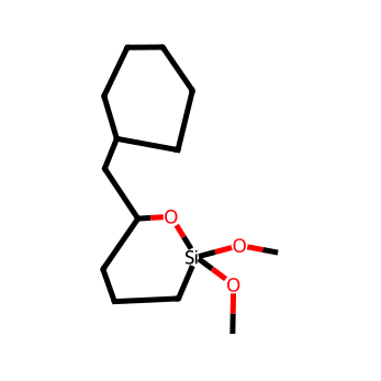 CO[Si]1(OC)CCCC(CC2CCCCC2)O1